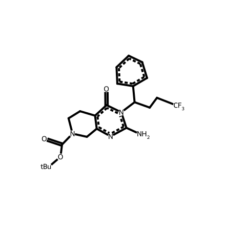 CC(C)(C)OC(=O)N1CCc2c(nc(N)n(C(CCC(F)(F)F)c3ccccc3)c2=O)C1